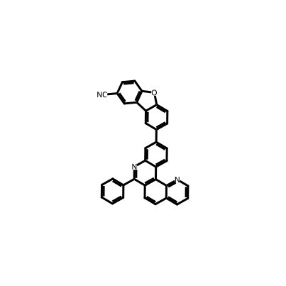 N#Cc1ccc2oc3ccc(-c4ccc5c(c4)nc(-c4ccccc4)c4ccc6cccnc6c45)cc3c2c1